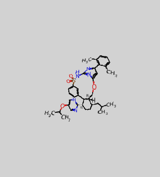 Cc1cccc(C)c1-c1cc2nc(n1)NS(=O)(=O)c1cccc(c1)C1[C@H](CO2)C(CC(C)C)CC[C@@H]1c1ncc(OC(C)C)cn1